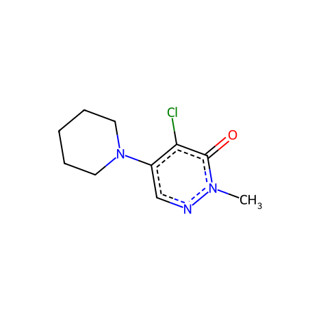 Cn1ncc(N2CCCCC2)c(Cl)c1=O